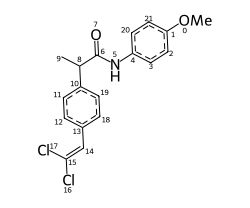 COc1ccc(NC(=O)C(C)c2ccc(C=C(Cl)Cl)cc2)cc1